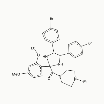 CCOc1cc(OC)ccc1C1(C(=O)N2CCN(C(C)C)CC2)NC(c2ccc(Br)cc2)C(c2ccc(Br)cc2)N1